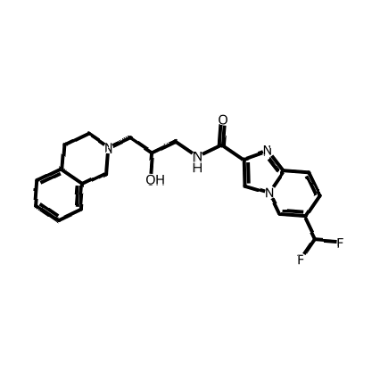 O=C(NCC(O)CN1CCc2ccccc2C1)c1cn2cc(C(F)F)ccc2n1